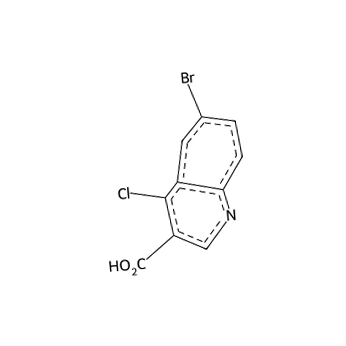 O=C(O)c1cnc2ccc(Br)cc2c1Cl